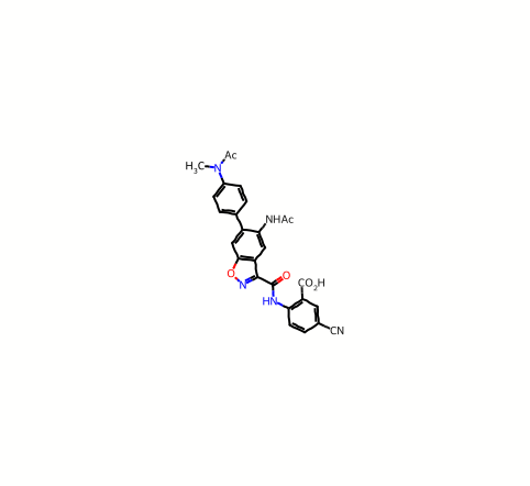 CC(=O)Nc1cc2c(C(=O)Nc3ccc(C#N)cc3C(=O)O)noc2cc1-c1ccc(N(C)C(C)=O)cc1